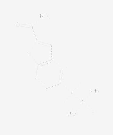 CC(C)(c1ccc2sc(C(N)=O)cc2c1)P(=O)(O)O